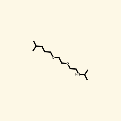 CC(C)CCCOCCOCCNC(C)C